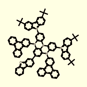 CC(C)(C)c1ccc2c(c1)c1cc(C(C)(C)C)ccc1n2-c1ccc2c(c1)N(c1ccc3c4ccccc4c4ccccc4c3c1)c1cc(-c3ccc4c(c3)oc3ccccc34)cc3c1B2c1ccc(-n2c4ccc(C(C)(C)C)cc4c4cc(C(C)(C)C)ccc42)cc1N3c1ccc2c3ccccc3c3ccccc3c2c1